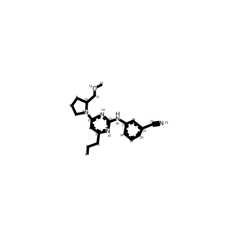 CCCc1cc(N2CCCC2COC)nc(Nc2cccc(C#N)c2)n1